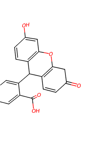 O=C1C=CC2=C(C1)Oc1cc(O)ccc1C2c1ccccc1C(=O)O